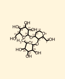 CC1OC(OC2C(CO)OCCC2OC2OC(CO)C(O)C(O)C2O)C(O)C(O)C1O